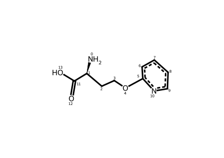 N[C@@H](CCOc1ccccn1)C(=O)O